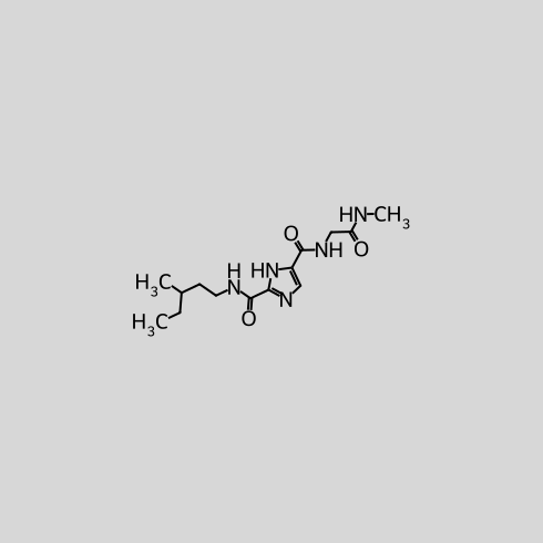 CCC(C)CCNC(=O)c1ncc(C(=O)NCC(=O)NC)[nH]1